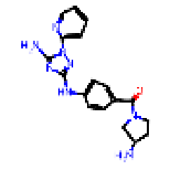 Nc1nc(Nc2ccc(C(=O)N3CCC(N)C3)cc2)nn1-c1ccccn1